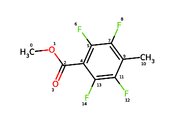 COC(=O)c1c(F)c(F)c(C)c(F)c1F